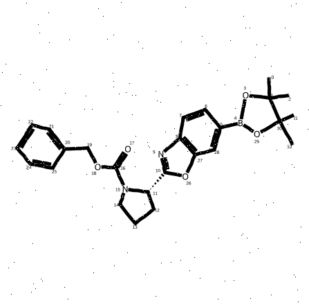 CC1(C)OB(c2ccc3nc([C@@H]4CCCN4C(=O)OCc4ccccc4)oc3c2)OC1(C)C